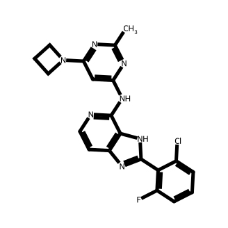 Cc1nc(Nc2nccc3nc(-c4c(F)cccc4Cl)[nH]c23)cc(N2CCC2)n1